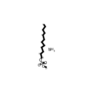 CCCCCCCCCCCCOS(=O)(=O)OC.N